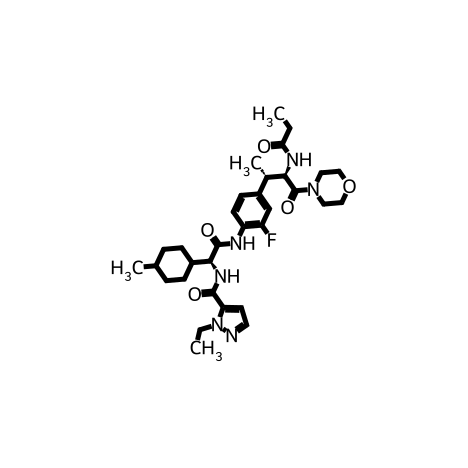 CCC(=O)N[C@@H](C(=O)N1CCOCC1)[C@@H](C)c1ccc(NC(=O)[C@@H](NC(=O)c2ccnn2CC)C2CCC(C)CC2)c(F)c1